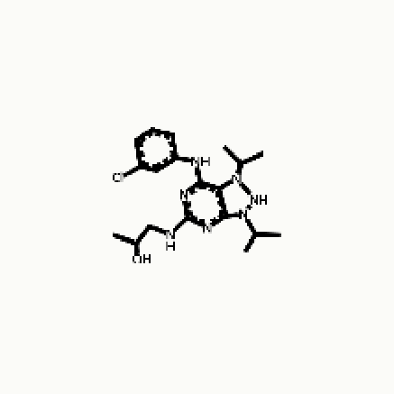 CC(O)CNc1nc(Nc2cccc(Cl)c2)c2c(n1)N(C(C)C)NN2C(C)C